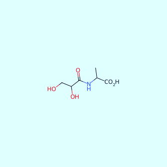 CC(NC(=O)C(O)CO)C(=O)O